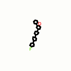 Fc1ccc(-c2ccc(-c3ccc(-c4ccc5oc6ccccc6c5c4)cc3)cc2)cc1